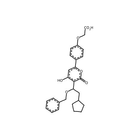 O=C(O)COc1ccc(-c2cc(O)c(C(CC3CCCC3)OCc3ccccc3)c(=O)o2)cc1